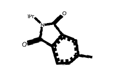 Cc1ccc2c(c1)C(=O)N(C(C)C)C2=O